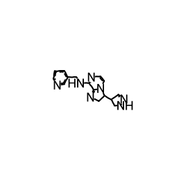 C1=CN2C(=NCC2C2C=NNC2)C(NCc2cccnc2)=N1